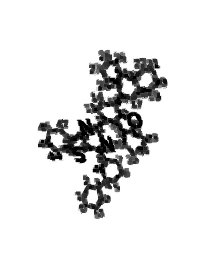 c1ccc(-c2cccc(-c3nc(-c4ccc(-c5cc6ccccc6c6ccccc56)c5oc6ccccc6c45)nc4c3sc3ccccc34)c2)cc1